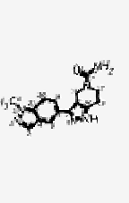 Cn1ncc2cc(-c3n[nH]c4c3CN(C(N)=O)CC4)ccc21